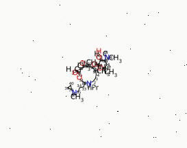 CCCN1CCC[C@@](C)(OC)[C@H](O[C@@H]2O[C@H](C)C[C@H](N(C)C)[C@H]2O)[C@@H](C)C(=O)C(C)(C)C(=O)OC[C@@H]1CCCN(C)C1CC1